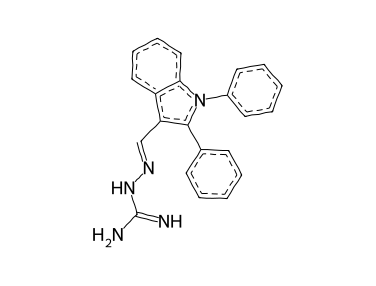 N=C(N)NN=Cc1c(-c2ccccc2)n(-c2ccccc2)c2ccccc12